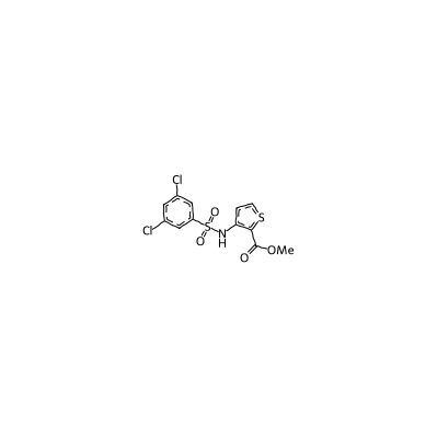 COC(=O)c1sccc1NS(=O)(=O)c1cc(Cl)cc(Cl)c1